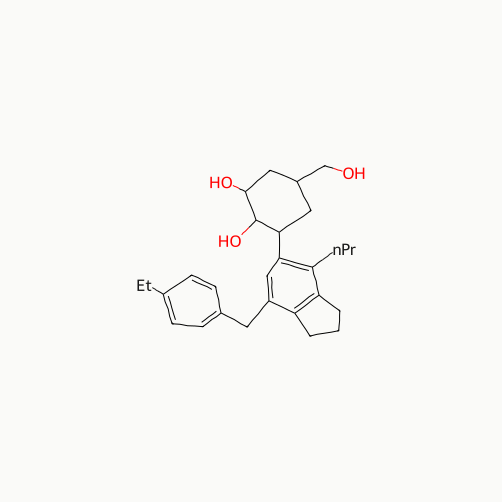 CCCc1c(C2CC(CO)CC(O)C2O)cc(Cc2ccc(CC)cc2)c2c1CCC2